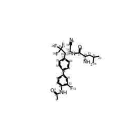 CC(=O)Nc1ccc(-c2ccc([C@@H](C(C#N)NC(=O)[C@@H](N)CC(C)C)C(F)(F)F)cc2)cc1F